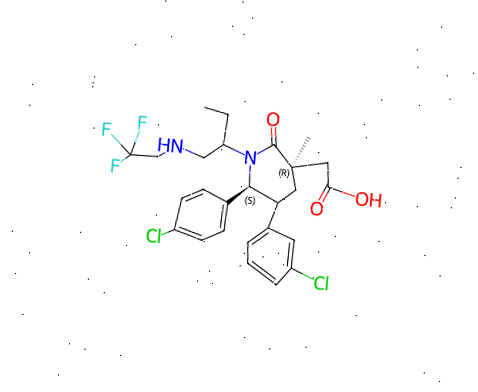 CCC(CNCC(F)(F)F)N1C(=O)[C@@](C)(CC(=O)O)CC(c2cccc(Cl)c2)[C@H]1c1ccc(Cl)cc1